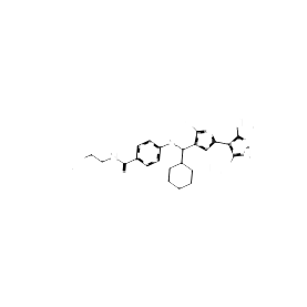 Cc1noc(C)c1-c1cc(C(Nc2ccc(C(=O)NCCC(=O)O)cc2)C2CCCCC2)c(C)o1